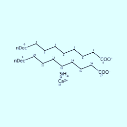 CCCCCCCCCCCCCCCCCC(=O)[O-].CCCCCCCCCCCCCCCCCC(=O)[O-].[Ca+2].[SiH4]